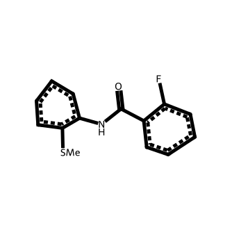 CSc1ccccc1NC(=O)c1ccccc1F